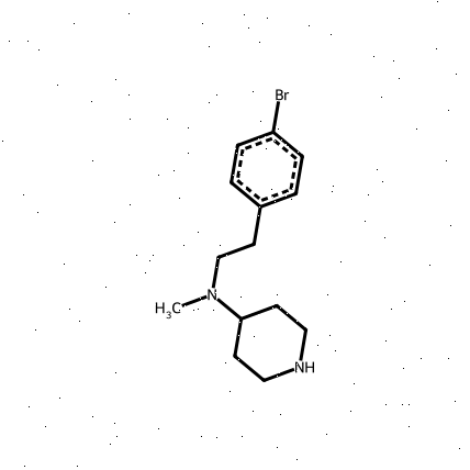 CN(CCc1ccc(Br)cc1)C1CCNCC1